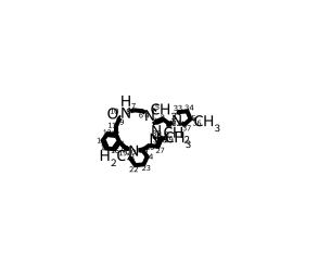 C=C(/C=C1/N(C)CCNC(=O)Cc2ccccc2C(=C)N2CCCCC2c2cc(C)n1n2)N1CC[C@H](C)C1